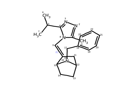 Cc1nnc(C(C)C)n1/C=C1\CC2CCC1N2Cc1ccccc1